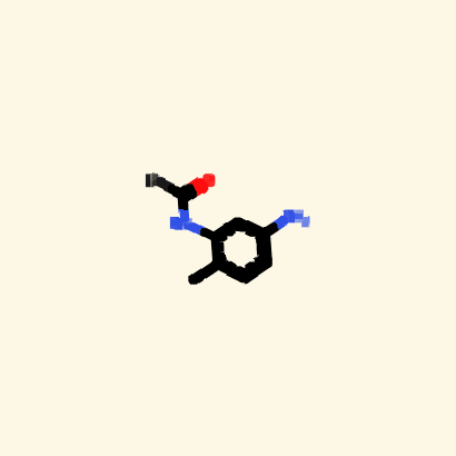 CCC(=O)Nc1cc(N)ccc1C